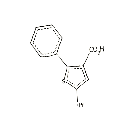 CC(C)c1cc(C(=O)O)c(-c2ccccc2)s1